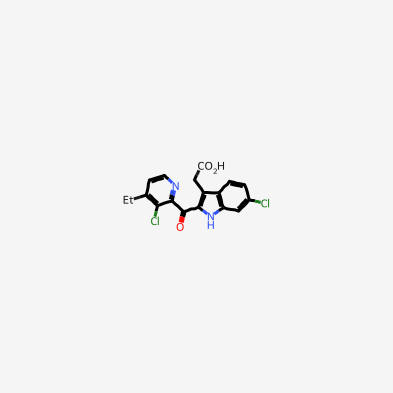 CCc1ccnc(C(=O)c2[nH]c3cc(Cl)ccc3c2CC(=O)O)c1Cl